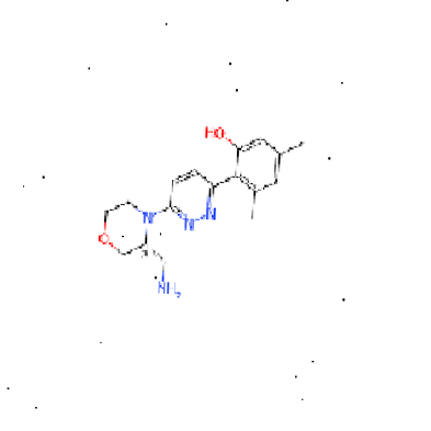 Cc1cc(C)c(-c2ccc(N3CCOC[C@H]3CN)nn2)c(O)c1